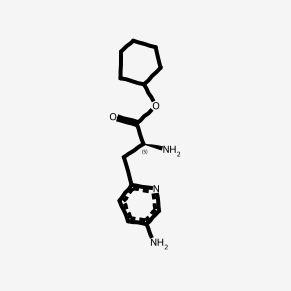 Nc1ccc(C[C@H](N)C(=O)OC2CCCCC2)nc1